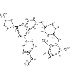 C[C@H]1CC[C@H](n2cc(-c3ccc(OC(F)(F)F)cc3)c3cc(CN4CCN(Cc5c(Cl)cccc5Cl)CC4)ccc32)C1